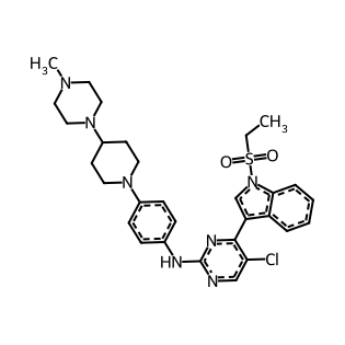 CCS(=O)(=O)n1cc(-c2nc(Nc3ccc(N4CCC(N5CCN(C)CC5)CC4)cc3)ncc2Cl)c2ccccc21